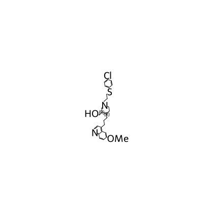 COc1ccc2nccc(CCC[C@@H]3CCN(CCCSc4ccc(Cl)cc4)C[C@@H]3CO)c2c1